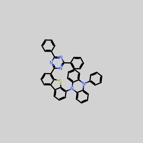 c1ccc(-c2nc(-c3ccccc3)nc(-c3cccc4c3sc3c(N5c6ccccc6N(c6ccccc6)c6ccccc65)cccc34)n2)cc1